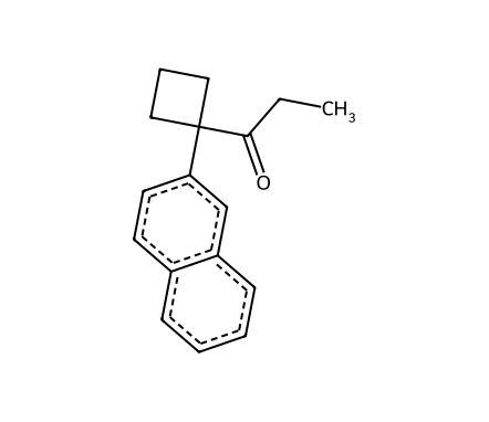 CCC(=O)C1(c2ccc3ccccc3c2)CCC1